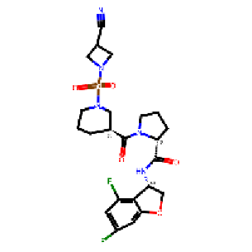 N#CC1CN(S(=O)(=O)N2CCC[C@H](C(=O)N3CCC[C@@H]3C(=O)N[C@@H]3COc4cc(F)cc(F)c43)C2)C1